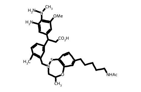 COc1cc(C(CC(=O)O)c2ccc(C)c(CN3CC(C)Oc4cc(CCCCCNC(C)=O)ccc4S3)c2)cc(N)c1N(C)N